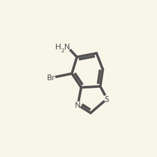 Nc1ccc2scnc2c1Br